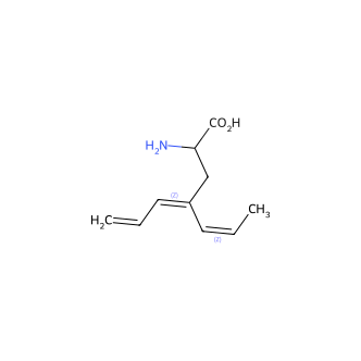 C=C/C=C(\C=C/C)CC(N)C(=O)O